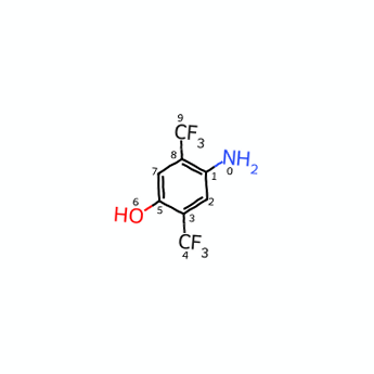 Nc1cc(C(F)(F)F)c(O)cc1C(F)(F)F